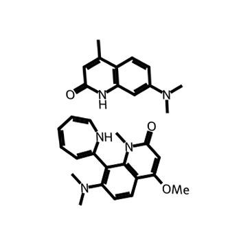 COc1cc(=O)n(C)c2c(C3=CC=CC=CN3)c(N(C)C)ccc12.Cc1cc(=O)[nH]c2cc(N(C)C)ccc12